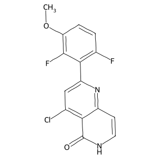 COc1ccc(F)c(-c2cc(Cl)c3c(=O)[nH]ccc3n2)c1F